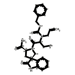 C=CCN(C(=O)OCc1ccccc1)C(CC(C)C)C(=O)N1C[C@]2(C[C@H]1C(N)=O)C(=O)Nc1ccccc12